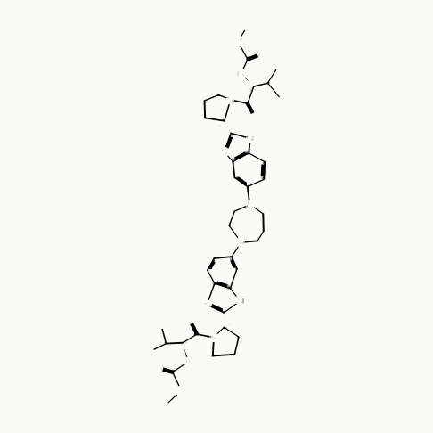 COC(=O)N[C@H](C(=O)N1CCC[C@H]1c1nc2cc(N3CCCN(c4ccc5nc([C@@H]6CCCN6C(=O)[C@@H](NC(=O)OC)C(C)C)[nH]c5c4)CC3)ccc2[nH]1)C(C)C